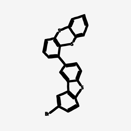 Brc1ccc2sc3ccc(-c4cccc5c4Sc4ccccc4S5)cc3c2c1